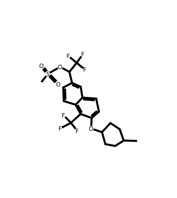 CC1CCC(Oc2ccc3cc(C(OS(C)(=O)=O)C(F)(F)F)ccc3c2C(F)(F)F)CC1